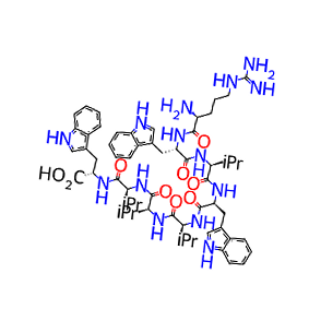 CC(C)[C@H](NC(=O)[C@H](Cc1c[nH]c2ccccc12)NC(=O)[C@@H](N)CCCNC(=N)N)C(=O)N[C@@H](Cc1c[nH]c2ccccc12)C(=O)N[C@H](C(=O)N[C@H](C(=O)N[C@H](C(=O)N[C@@H](Cc1c[nH]c2ccccc12)C(=O)O)C(C)C)C(C)C)C(C)C